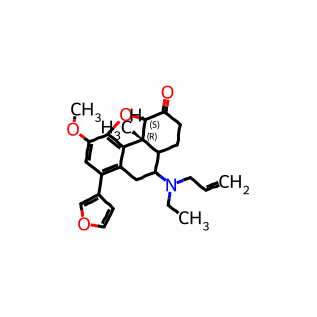 C=CCN(CC)C1Cc2c(-c3ccoc3)cc(OC)c3c2[C@@]2(C)C1CCC(=O)[C@H]2O3